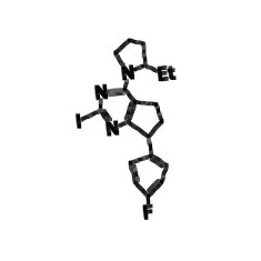 CCC1CCCN1c1nc(I)nc2c1CCC2c1ccc(F)cc1